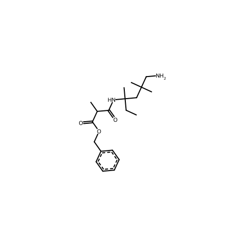 CCC(C)(CC(C)(C)CN)NC(=O)C(C)C(=O)OCc1ccccc1